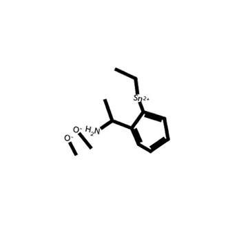 C[CH2][Sn+2][c]1ccccc1C(C)N.C[O-].C[O-]